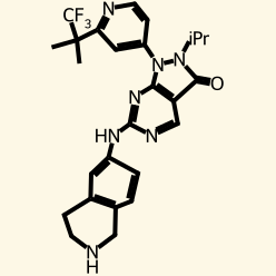 CC(C)n1c(=O)c2cnc(Nc3ccc4c(c3)CCNC4)nc2n1-c1ccnc(C(C)(C)C(F)(F)F)c1